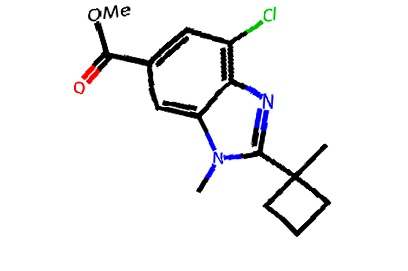 COC(=O)c1cc(Cl)c2nc(C3(C)CCC3)n(C)c2c1